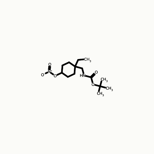 CCC1(CNC(=O)OC(C)(C)C)CCC(O[N+](=O)[O-])CC1